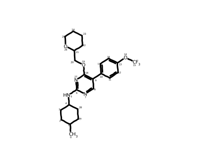 CC1CCC(Nc2ncc(-c3ccc(OC(F)(F)F)cc3)c(OCC3CCCCO3)n2)CC1